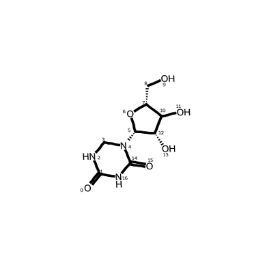 O=C1NCN([C@@H]2O[C@H](CO)C(O)[C@@H]2O)C(=O)N1